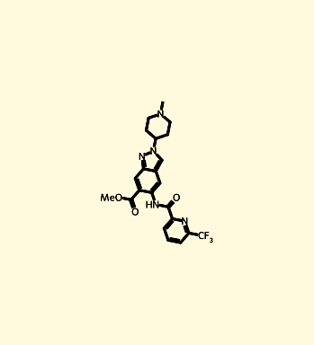 COC(=O)c1cc2nn(C3CCN(C)CC3)cc2cc1NC(=O)c1cccc(C(F)(F)F)n1